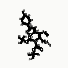 C=N/C(=C(\N)N(C(=O)OC(C)(C)C)C(=O)OC(C)(C)C)c1cc(-c2ccc(C)cc2)no1